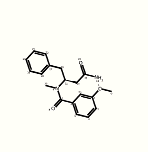 COc1cccc(C(=O)N(C)[C@H](CC(N)=O)Cc2ccccc2)c1